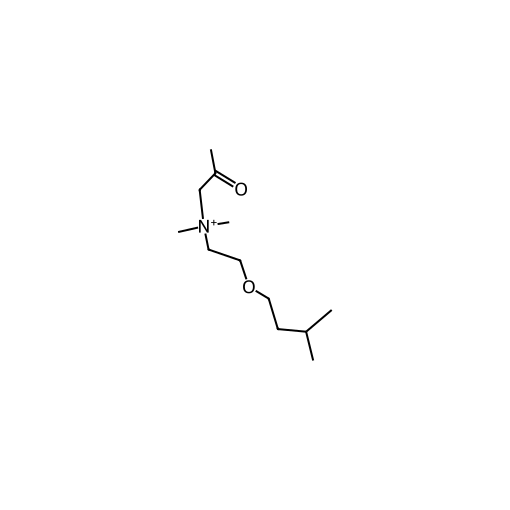 CC(=O)C[N+](C)(C)CCOCCC(C)C